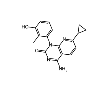 Cc1c(O)cccc1-n1c(=O)nc(N)c2ccc(C3CC3)nc21